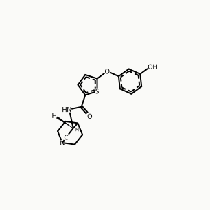 O=C(N[C@H]1CN2CCC1CC2)c1ccc(Oc2cccc(O)c2)s1